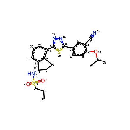 CCCS(=O)(=O)N[C@H]1CCc2c(-c3nnc(-c4ccc(OC(C)C)c(C#N)c4)s3)cccc21